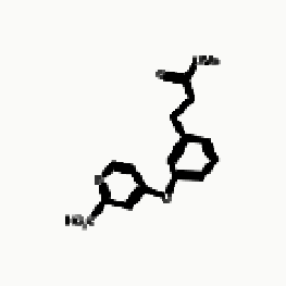 COC(=O)CCc1cccc(Oc2ccnc(C(=O)O)c2)c1